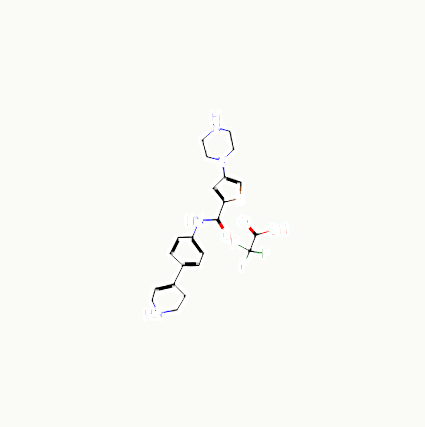 O=C(Nc1ccc(C2=CCNCC2)cc1)c1cc(N2CCNCC2)cs1.O=C(O)C(F)(F)F